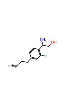 CCCCCCCCCc1ccc(C(N)CO)c(F)c1